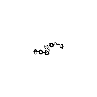 c1coc(-c2ccc(-c3cccc4nc(Nc5ccc(OCCN6CCCC6)cc5)nn34)cc2)c1